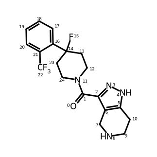 O=C(c1n[nH]c2c1CNCC2)N1CCC(F)(c2ccccc2C(F)(F)F)CC1